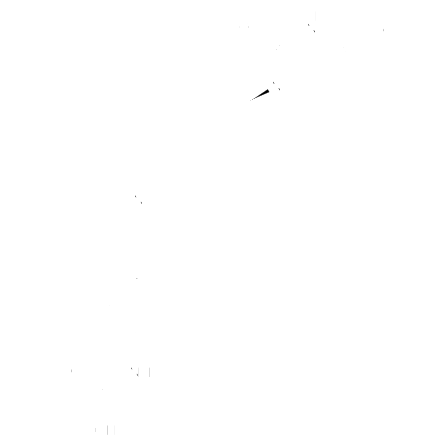 O=C(O)NC1CC2(CCN(C[C@H]3CC[C@H](n4ccc(=O)[nH]c4=O)CC3)CC2)C1